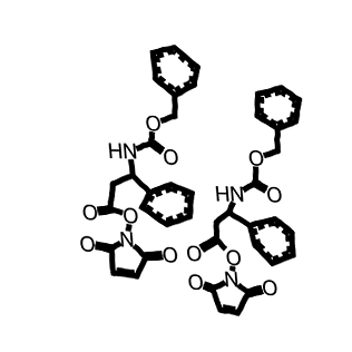 O=C(CC(NC(=O)OCc1ccccc1)c1ccccc1)ON1C(=O)C=CC1=O.O=C(CC(NC(=O)OCc1ccccc1)c1ccccc1)ON1C(=O)C=CC1=O